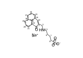 O=C1C(CNCCCCS(=O)(=O)[O-])=Cc2cccc3cccc1c23.[Na+]